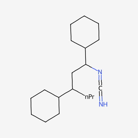 CCCC(CC(N=C=N)C1CCCCC1)C1CCCCC1